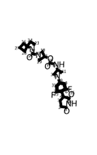 O=C1CCC(c2c(F)cc(N3CC(NC(=O)OC4CN(C(=O)N5CCC56CCC6)C4)C3)cc2F)C(=O)N1